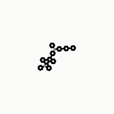 c1ccc(-c2ccc(-c3ccc(N(c4ccccc4)c4ccc(-c5cc6c7ccccc7c7c(c8ccccc8n7-c7ccccc7)c6c6ccccc56)cc4)cc3)cc2)cc1